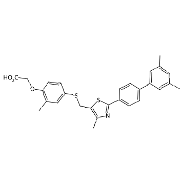 Cc1cc(C)cc(-c2ccc(-c3nc(C)c(CSc4ccc(OCC(=O)O)c(C)c4)s3)cc2)c1